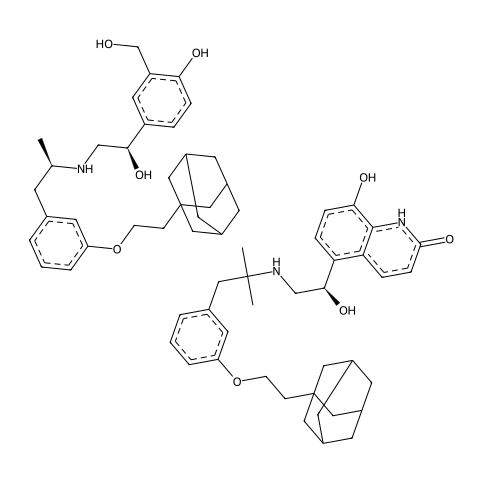 CC(C)(Cc1cccc(OCCC23CC4CC(CC(C4)C2)C3)c1)NC[C@H](O)c1ccc(O)c2[nH]c(=O)ccc12.C[C@H](Cc1cccc(OCCC23CC4CC(CC(C4)C2)C3)c1)NC[C@H](O)c1ccc(O)c(CO)c1